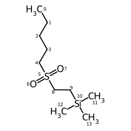 CCCCCS(=O)(=O)CC[Si](C)(C)C